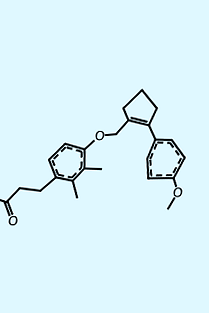 COc1ccc(C2=C(COc3ccc(CCC(=O)O)c(C)c3C)CCC2)cc1